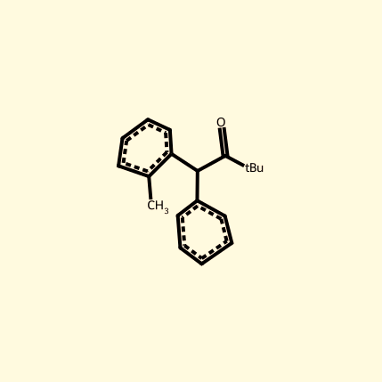 Cc1ccccc1C(C(=O)C(C)(C)C)c1ccccc1